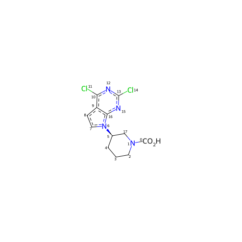 O=C(O)N1CCC[C@@H](n2ccc3c(Cl)nc(Cl)nc32)C1